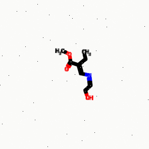 CC/C(=C\N=C/CO)C(=O)OC